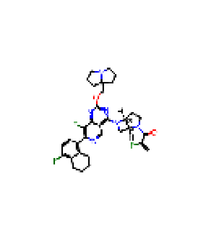 C=C(F)C(=O)N1CC[C@@H]2[C@H]1CN2c1nc(OCC23CCCN2CCC3)nc2c(F)c(-c3ccc(F)c4c3CCCC4)ncc12